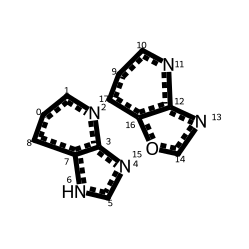 c1cnc2nc[nH]c2c1.c1cnc2ncoc2c1